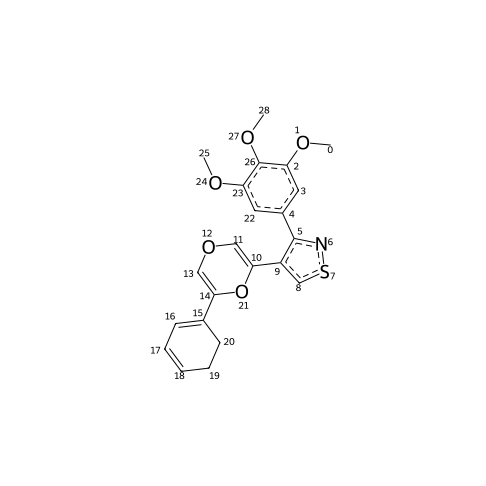 COc1cc(-c2nscc2C2=COC=C(C3=CC=CCC3)O2)cc(OC)c1OC